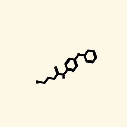 O=C(CCCBr)Nc1ccc(OC2C=CC=CC2)cc1